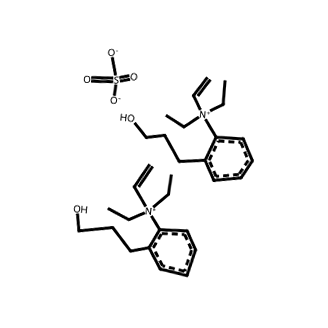 C=C[N+](CC)(CC)c1ccccc1CCCO.C=C[N+](CC)(CC)c1ccccc1CCCO.O=S(=O)([O-])[O-]